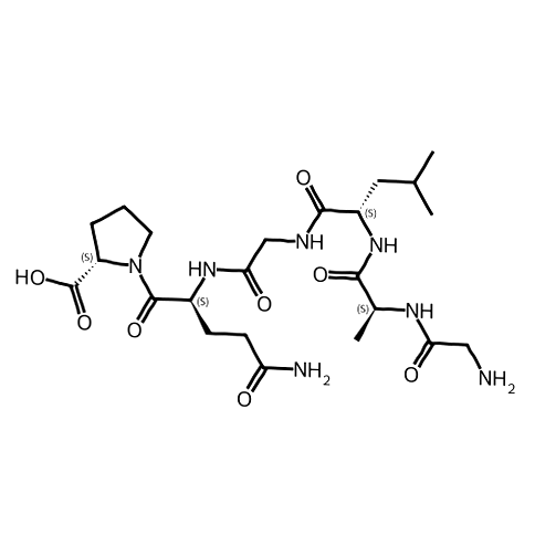 CC(C)C[C@H](NC(=O)[C@H](C)NC(=O)CN)C(=O)NCC(=O)N[C@@H](CCC(N)=O)C(=O)N1CCC[C@H]1C(=O)O